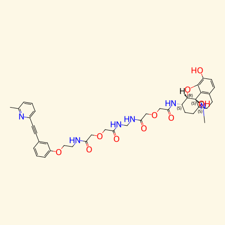 Cc1cccc(C#Cc2cccc(OCCNC(=O)COCC(=O)NCNC(=O)COCC(=O)N[C@H]3CC[C@@]4(O)C5Cc6ccc(O)c7c6[C@@]4(CCN5C)[C@H]3O7)c2)n1